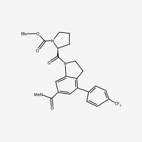 CNC(=O)c1cc(-c2ccc(C(F)(F)F)cc2)c2c(c1)N(C(=O)[C@@H]1CCCN1C(=O)OC(C)(C)C)CC2